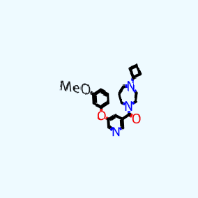 COc1cccc(Oc2cncc(C(=O)N3CCCN(C4CCC4)CC3)c2)c1